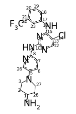 NC1CCN(c2ccc(Nc3ncc(Cl)c(Nc4cccc(C(F)(F)F)c4)n3)nc2)CC1